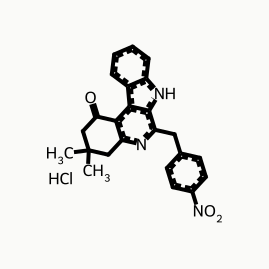 CC1(C)CC(=O)c2c(nc(Cc3ccc([N+](=O)[O-])cc3)c3[nH]c4ccccc4c23)C1.Cl